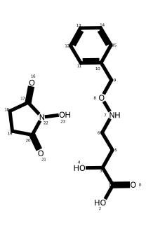 O=C(O)C(O)CCNOCc1ccccc1.O=C1CCC(=O)N1O